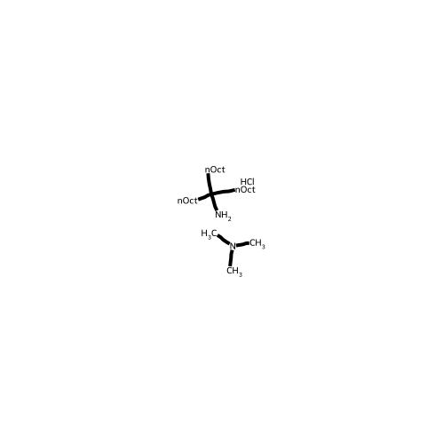 CCCCCCCCC(N)(CCCCCCCC)CCCCCCCC.CN(C)C.Cl